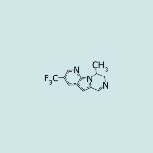 CC1CN=Cc2cc3cc(C(F)(F)F)cnc3n21